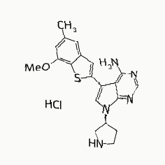 COc1cc(C)cc2cc(-c3cn([C@H]4CCNC4)c4ncnc(N)c34)sc12.Cl